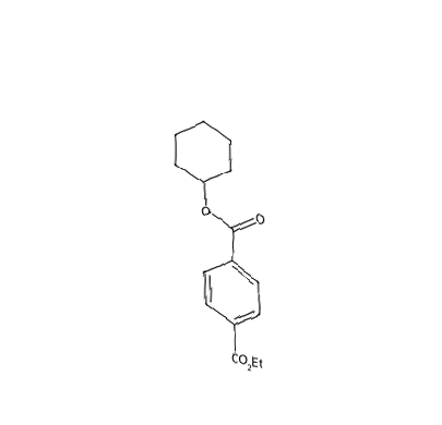 CCOC(=O)c1ccc(C(=O)OC2CCCCC2)cc1